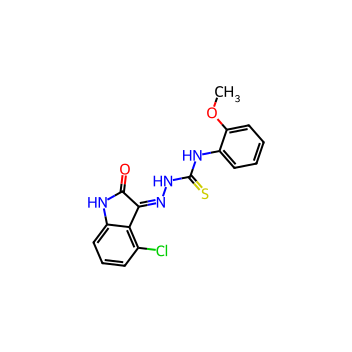 COc1ccccc1NC(=S)N/N=C1\C(=O)Nc2cccc(Cl)c21